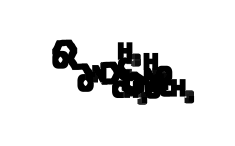 C[C@H]1CN(C(=O)CCC2CCCCO2)CC[C@]1(C)c1cccc(NS(C)(=O)=O)c1